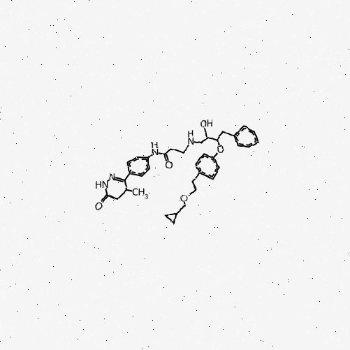 CC1CC(=O)NN=C1c1ccc(NC(=O)CCNCC(O)C(Cc2ccccc2)Oc2ccc(CCOCC3CC3)cc2)cc1